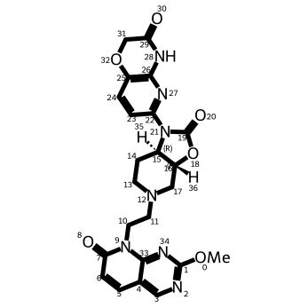 COc1ncc2ccc(=O)n(CCN3CC[C@@H]4[C@@H](C3)OC(=O)N4c3ccc4c(n3)NC(=O)CO4)c2n1